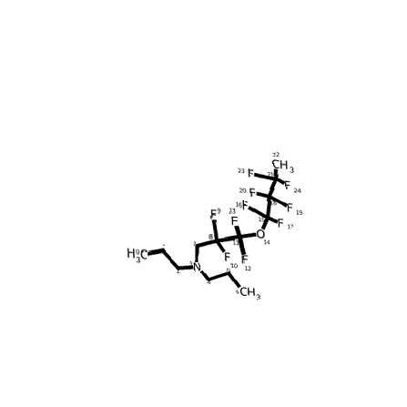 CCCN(CCC)CC(F)(F)C(F)(F)OC(F)(F)C(F)(F)C(C)(F)F